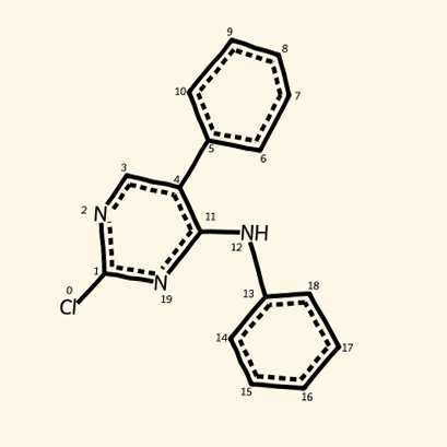 Clc1ncc(-c2ccccc2)c(Nc2ccccc2)n1